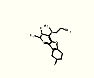 CN(CCN)C1=c2oc3c(c2=NC(N)N1F)CC(F)CC3